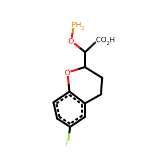 O=C(O)C(OP)C1CCc2cc(F)ccc2O1